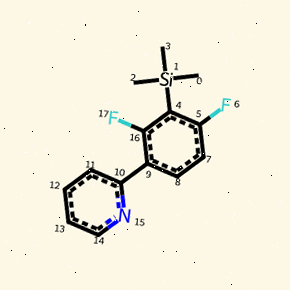 C[Si](C)(C)c1c(F)ccc(-c2ccccn2)c1F